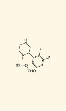 CC(C)(C)OC=O.Fc1cccc(C2CNCCN2)c1F